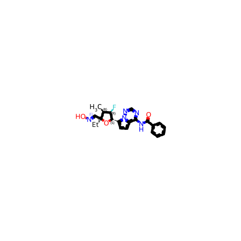 CC[C@@]1(/C=N/O)O[C@@H](c2ccc3c(NC(=O)c4ccccc4)ncnn23)[C@H](F)[C@@H]1C